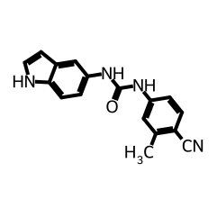 Cc1cc(NC(=O)Nc2ccc3[nH]ccc3c2)ccc1C#N